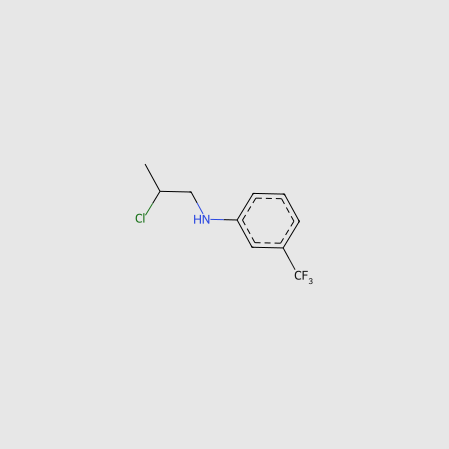 CC(Cl)CNc1cccc(C(F)(F)F)c1